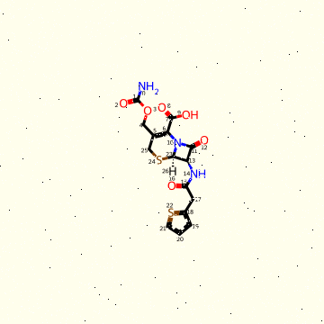 NC(=O)OCC1=C(C(=O)O)N2C(=O)[C@@H](NC(=O)Cc3cccs3)[C@H]2SC1